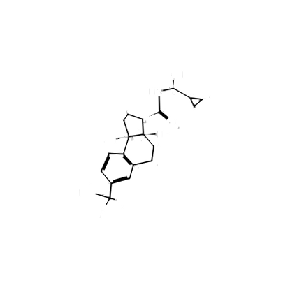 C[C@H](NC(=O)[C@@H]1CC[C@H]2c3ccc(C(F)(C(F)(F)F)C(F)(F)F)cc3CC[C@@H]12)C1CC1